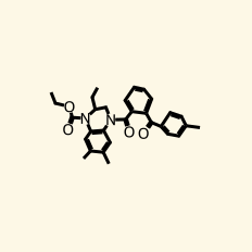 CCOC(=O)N1c2cc(C)c(C)cc2N(C(=O)c2ccccc2C(=O)c2ccc(C)cc2)CC1CC